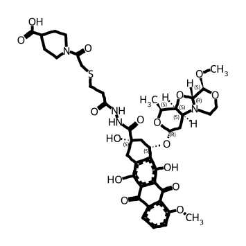 COc1cccc2c1C(=O)c1c(O)c3c(c(O)c1C2=O)C[C@@](O)(C(=O)NNC(=O)CCSCC(=O)N1CCC(C(=O)O)CC1)C[C@@H]3O[C@H]1C[C@H]2[C@H](O[C@@H]3[C@@H](OC)OCCN32)[C@H](C)O1